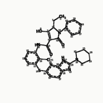 CCC1C(O)=C(C(=O)Nc2cccc(Sc3ccc4nc(N5CCCCC5)[nH]c4n3)c2Cl)C(=O)N1c1ccccc1